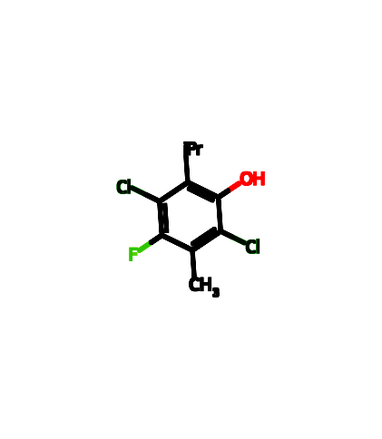 Cc1c(F)c(Cl)c(C(C)C)c(O)c1Cl